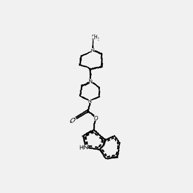 CN1CCC(N2CCN(C(=O)Oc3c[nH]c4ccccc34)CC2)CC1